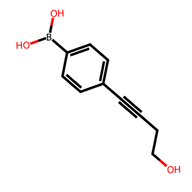 OCCC#Cc1ccc(B(O)O)cc1